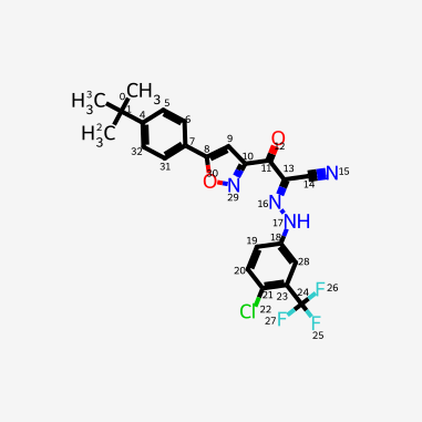 CC(C)(C)c1ccc(-c2cc(C(=O)C(C#N)=NNc3ccc(Cl)c(C(F)(F)F)c3)no2)cc1